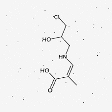 CC(=CNCC(O)CCl)C(=O)O